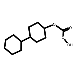 O=C(OO)OC1CCC(C2CCCCC2)CC1